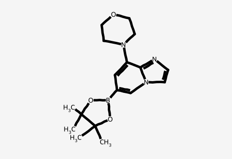 CC1(C)OB(c2cc(N3CCOCC3)c3nccn3c2)OC1(C)C